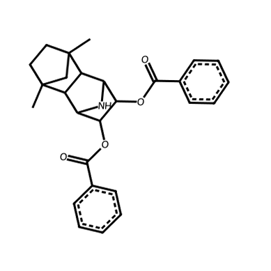 CC12CCC(C)(C1)C1C3NC(C(OC(=O)c4ccccc4)C3OC(=O)c3ccccc3)C12